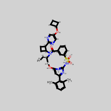 Cc1cccc(C)c1-c1cc2nc(n1)NS(=O)(=O)c1cccc(c1)C(=O)N(C1CCC1c1ncc(OC3CCC3)cn1)[C@H](CC(C)C)CO2